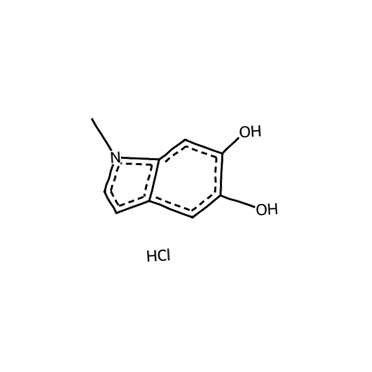 Cl.Cn1ccc2cc(O)c(O)cc21